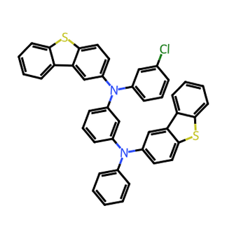 Clc1cccc(N(c2cccc(N(c3ccccc3)c3ccc4sc5ccccc5c4c3)c2)c2ccc3sc4ccccc4c3c2)c1